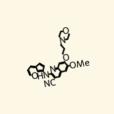 COc1cc2cc(C#N)c(Nc3ccc4cccoc3-4)nc2cc1OCCCN1CCOCC1